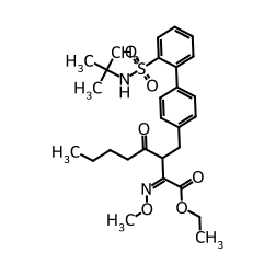 CCCCC(=O)C(Cc1ccc(-c2ccccc2S(=O)(=O)NC(C)(C)C)cc1)/C(=N/OC)C(=O)OCC